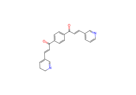 O=C(/C=C/C1=CCCN=C1)c1ccc(C(=O)/C=C/c2cccnc2)cc1